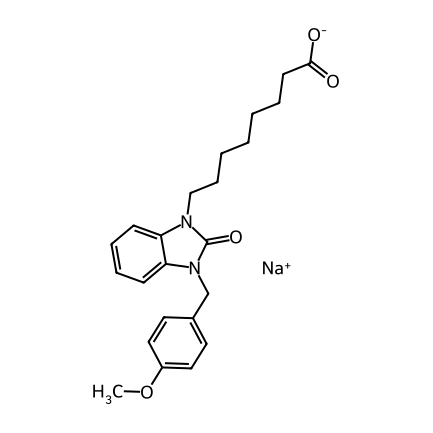 COc1ccc(Cn2c(=O)n(CCCCCCCC(=O)[O-])c3ccccc32)cc1.[Na+]